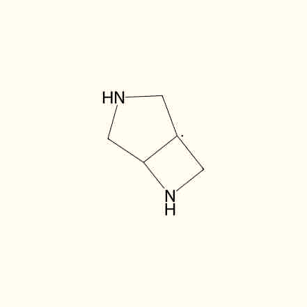 C1NCC2NC[C]12